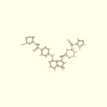 Cc1ccnc(NC(=O)c2ccc(Oc3ccnc4[nH]nc(N[C@@H]5CCCN(C(=O)c6ncco6)C5)c34)cc2)c1